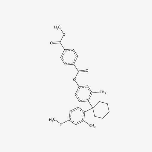 COC(=O)c1ccc(C(=O)Oc2ccc(C3(c4ccc(OC)cc4C)CCCCC3)c(C)c2)cc1